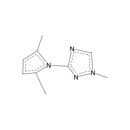 Cc1ccc(C)n1-c1ncn(C)n1